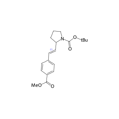 COC(=O)c1ccc(/C=C/C2CCCN2C(=O)OC(C)(C)C)cc1